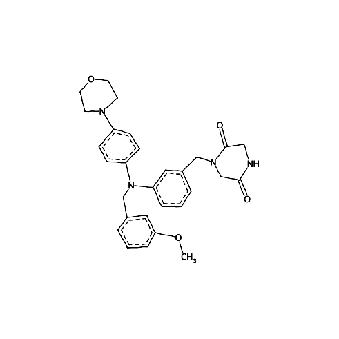 COc1cccc(CN(c2ccc(N3CCOCC3)cc2)c2cccc(CN3CC(=O)NCC3=O)c2)c1